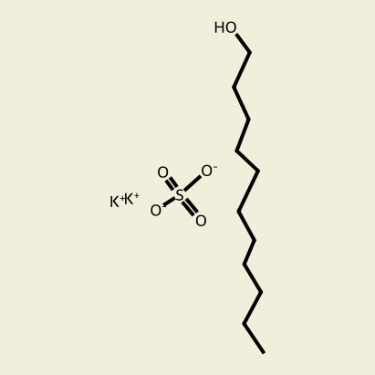 CCCCCCCCCCCO.O=S(=O)([O-])[O-].[K+].[K+]